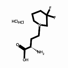 Cl.Cl.N[C@@H](CCN1CCCC(F)(F)C1)C(=O)O